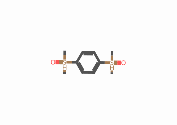 C[SH](C)(=O)c1ccc([SH](C)(C)=O)cc1